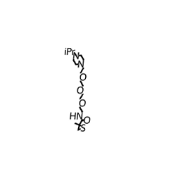 CC(C)N1CCN(CCOCCOCCOCCNC(=O)C2(C)CS2)CC1